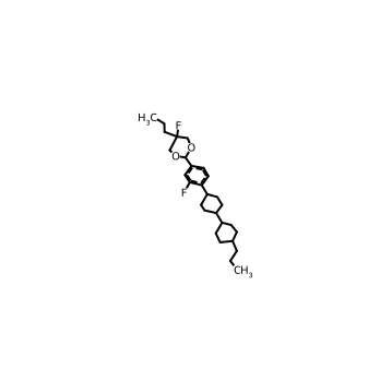 CCCC1CCC(C2CCC(c3ccc(C4OCC(F)(CCC)CO4)cc3F)CC2)CC1